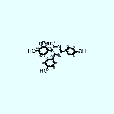 CCCCCC1N=C(c2ccc(O)cc2)N=C(c2ccc(O)cc2)N1c1ccc(O)cc1